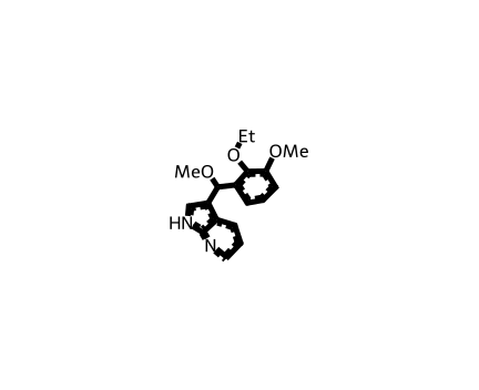 CCOc1c(OC)cccc1C(OC)c1c[nH]c2ncccc12